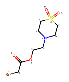 O=C(CBr)OCCN1CCS(=O)(=O)CC1